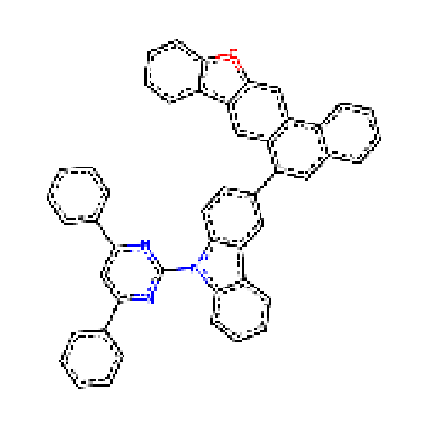 c1ccc(-c2cc(-c3ccccc3)nc(-n3c4ccccc4c4cc(-c5cc6ccccc6c6cc7oc8ccccc8c7cc56)ccc43)n2)cc1